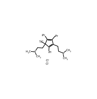 CC(C)C1=C(C(C)C)[C]([Ti+2])(CCN(C)C)C(C(C)C)=C1CCN(C)C.[Cl-].[Cl-]